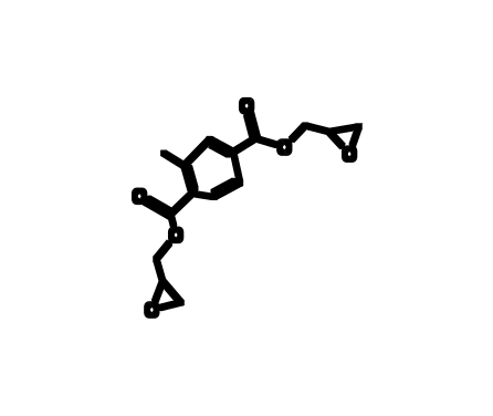 Cc1cc(C(=O)OCC2CO2)ccc1C(=O)OCC1CO1